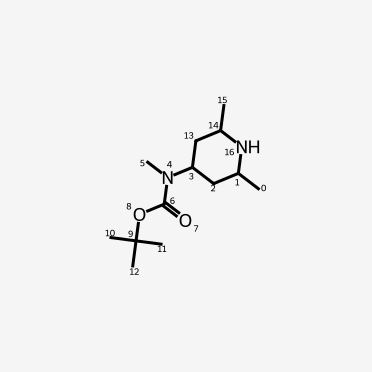 CC1CC(N(C)C(=O)OC(C)(C)C)CC(C)N1